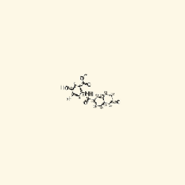 COC(=O)c1cc(O)c(F)cc1NC(=O)c1ccc2cc(Cl)ccc2c1